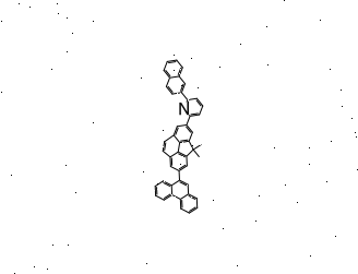 CC1(C)c2cc(-c3cccc(-c4ccc5ccccc5c4)n3)cc3ccc4cc(-c5cc6ccccc6c6ccccc56)cc1c4c23